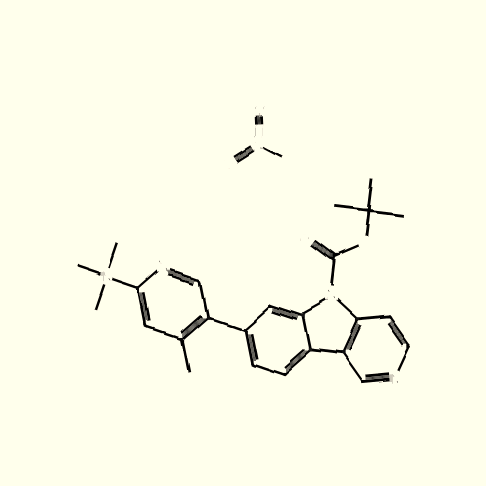 Cc1cc([N+](C)(C)C)ncc1-c1ccc2c3cnccc3n(C(=O)OC(C)(C)C)c2c1.O=[SH](=O)[O-]